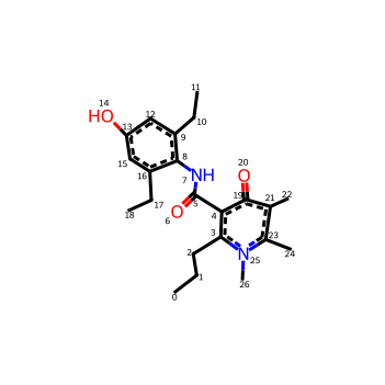 CCCc1c(C(=O)Nc2c(CC)cc(O)cc2CC)c(=O)c(C)c(C)n1C